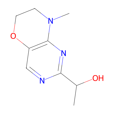 CC(O)c1ncc2c(n1)N(C)CCO2